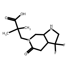 CC(C)(CN1CC2NCC(F)(F)C2CC1=O)C(=O)O